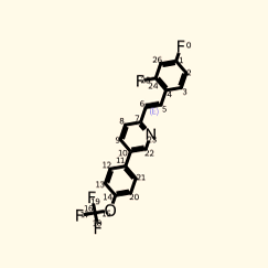 Fc1ccc(/C=C/c2ccc(-c3ccc(OC(F)(F)F)cc3)cn2)c(F)c1